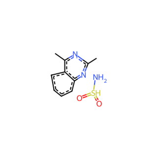 Cc1nc(C)c2ccccc2n1.N[SH](=O)=O